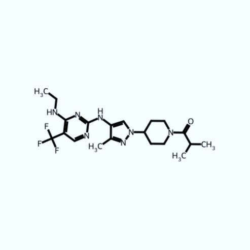 CCNc1nc(Nc2cn(C3CCN(C(=O)C(C)C)CC3)nc2C)ncc1C(F)(F)F